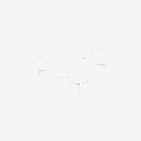 CC(C)(CCCn1ccc(=O)[nH]c1=O)NS(=O)(=O)c1ccccc1Cl